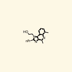 CCCc1nc2c(C)nc3c(C)cccc3c2n1CCO